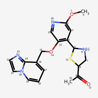 COc1cc(C2NCC(C(C)=O)S2)c(OCc2cccn3ccnc23)cn1